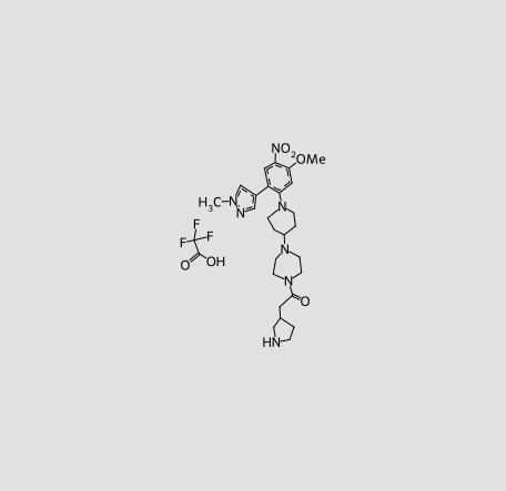 COc1cc(N2CCC(N3CCN(C(=O)CC4CCNC4)CC3)CC2)c(-c2cnn(C)c2)cc1[N+](=O)[O-].O=C(O)C(F)(F)F